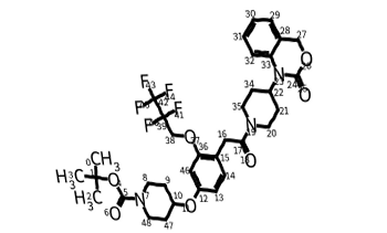 CC(C)(C)OC(=O)N1CCC(Oc2ccc(CC(=O)N3CCC(N4C(=O)OCc5ccccc54)CC3)c(OCC(F)(F)C(F)(F)F)c2)CC1